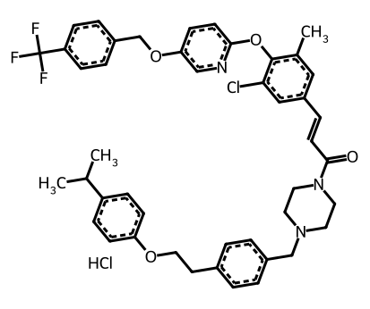 Cc1cc(C=CC(=O)N2CCN(Cc3ccc(CCOc4ccc(C(C)C)cc4)cc3)CC2)cc(Cl)c1Oc1ccc(OCc2ccc(C(F)(F)F)cc2)cn1.Cl